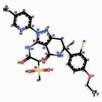 C[C@@]1(c2ccc(OCC(F)(F)F)cc2F)Cc2nn(-c3ccc(C#N)cn3)c(NC(=O)CS(C)(=O)=O)c2C(=O)N1